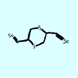 [Se]=CC1CSC(C=[Se])CS1